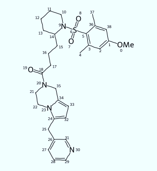 COc1cc(C)c(S(=O)(=O)N2CCCCC2CCCC(=O)N2CCn3c(Cc4cccnc4)ccc3C2)c(C)c1